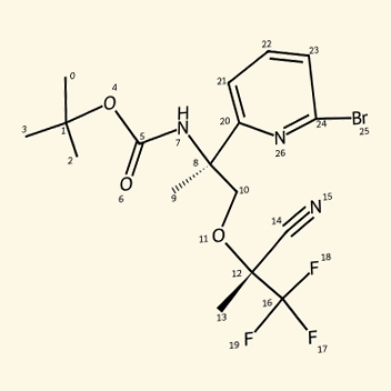 CC(C)(C)OC(=O)N[C@](C)(CO[C@](C)(C#N)C(F)(F)F)c1cccc(Br)n1